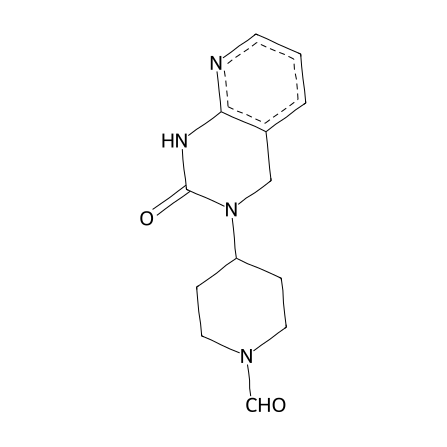 O=CN1CCC(N2Cc3cccnc3NC2=O)CC1